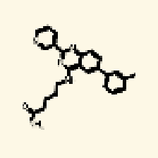 Cc1cccc(-c2ccc3nc(-c4cccnc4)nc(NCCCCC(N)=O)c3c2)c1